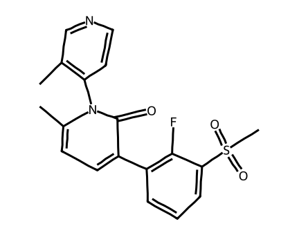 Cc1cnccc1-n1c(C)ccc(-c2cccc(S(C)(=O)=O)c2F)c1=O